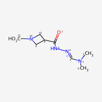 CN(C)/C=N/NC(=O)C1CN(C(=O)O)C1